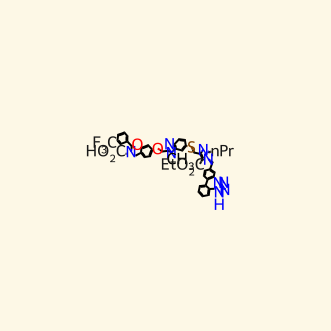 CCCc1nc(CSc2ccc3nc(COc4ccc(CN(CC(=O)O)C(=O)c5cccc(C(F)(F)F)c5)cc4)n(C)c3c2)c(C(=O)OCC)n1Cc1ccc(-c2ccccc2-c2nnn[nH]2)cc1